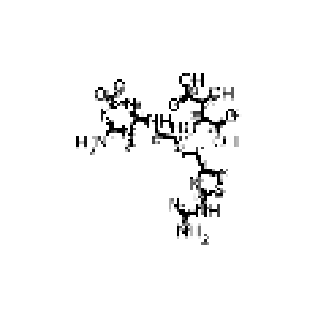 CN1C(N)=NS(=O)(=O)N=C1NCCSCc1csc(NC(=N)N)n1.O=C(O)C(O)C(O)C(=O)O